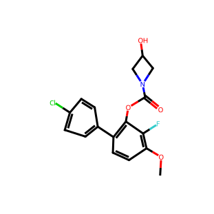 COc1ccc(-c2ccc(Cl)cc2)c(OC(=O)N2CC(O)C2)c1F